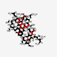 CSCC[C@H](NC(=O)[C@H](Cc1ccc(O)cc1)NC(=O)[C@H](C)NC(=O)[C@@H](NC(=O)[C@H](CO)NC(=O)[C@H](CO)NC(=O)[C@H](CO)NC(=O)[C@H](CCCCN)NC(=O)[C@H](CC(=O)O)NC(=O)[C@H](C)N)[C@@H](C)O)C(=O)N[C@@H](CCC(N)=O)C(=O)N[C@@H](CC(C)C)C(=O)N[C@@H](CO)C(=O)N[C@@H](CO)C(=O)N[C@@H](CC(C)C)C(=O)N[C@H](C(=O)N[C@@H](CO)C(=O)N[C@@H](CCC(=O)O)C(=O)N[C@@H](CC(=O)O)C(=O)N[C@@H](CO)C(=O)O)[C@@H](C)O